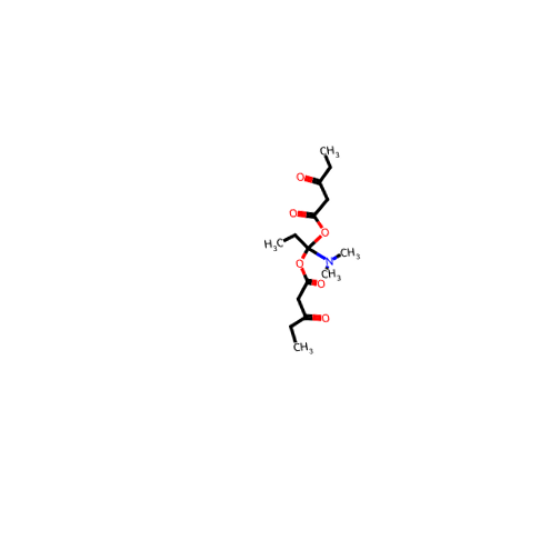 CCC(=O)CC(=O)OC(CC)(OC(=O)CC(=O)CC)N(C)C